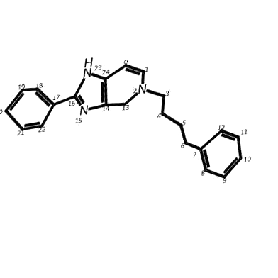 C1=CN(CCCCc2ccccc2)Cc2nc(-c3ccccc3)[nH]c21